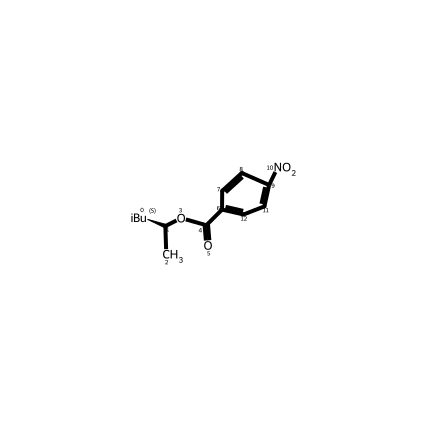 CC[C@H](C)C(C)OC(=O)c1ccc([N+](=O)[O-])cc1